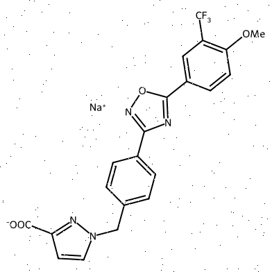 COc1ccc(-c2nc(-c3ccc(Cn4ccc(C(=O)[O-])n4)cc3)no2)cc1C(F)(F)F.[Na+]